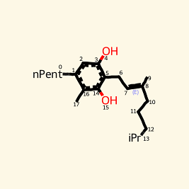 CCCCCc1cc(O)c(C/C=C(\C)CCCC(C)C)c(O)c1C